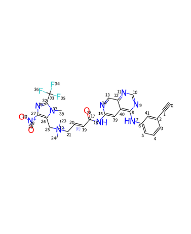 C#Cc1cccc(Nc2ncnc3cnc(NC(=O)/C=C/C[N+](C)(C)Cc4c([N+](=O)[O-])nc(C(F)(F)F)n4C)cc23)c1